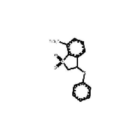 CCOC(=O)c1cccc2c1S(=O)(=O)CC2Sc1ccccc1